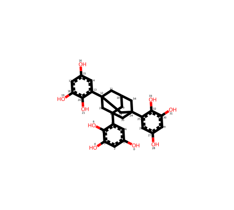 Oc1cc(O)c(O)c(C23CC4CC(c5cc(O)cc(O)c5O)(C2)CC(c2cc(O)cc(O)c2O)(C4)C3)c1